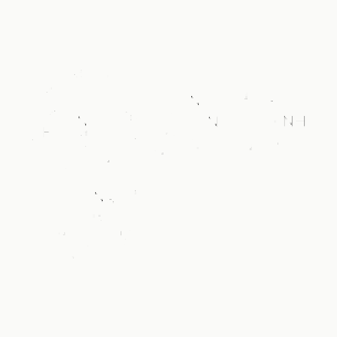 CC1CCc2c(ccc(-c3cnn(C4CCNCC4)c3)c2Oc2cccc(F)n2)N1C(=O)C1CC1